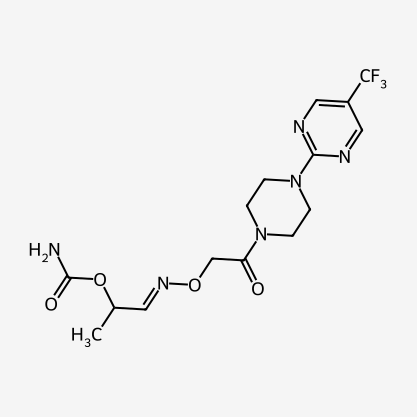 CC(C=NOCC(=O)N1CCN(c2ncc(C(F)(F)F)cn2)CC1)OC(N)=O